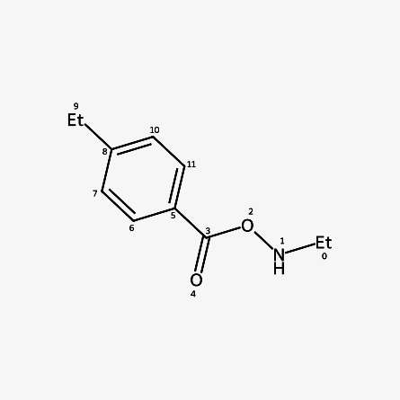 CCNOC(=O)c1ccc(CC)cc1